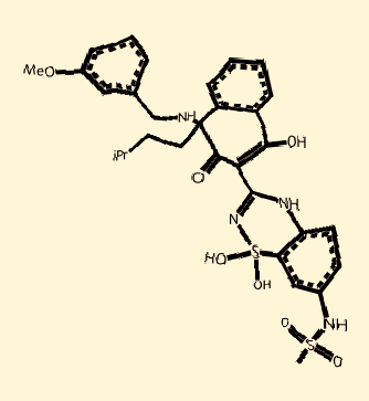 COc1cccc(CNC2(CCC(C)C)C(=O)C(C3=NS(O)(O)c4cc(NS(C)(=O)=O)ccc4N3)=C(O)c3ccccc32)c1